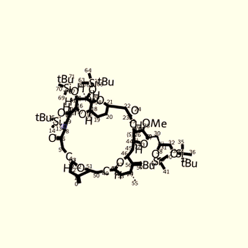 C=C1C[C@@H]2CCC(=O)/C=C/[C@H](O[Si](C)(C)C(C)(C)C)[C@@H]3O[C@H]4CCC(CC(=O)C[C@@H]5[C@@H](OC)[C@@H](C[C@@H](CO[Si](C)(C)C(C)(C)C)O[Si](C)(C)C(C)(C)C)O[C@H]5CC5O[C@@H](CCC1O2)C[C@@H](C)C5=C)O[C@@H]4[C@H](O[Si](C)(C)C(C)(C)C)[C@@H]3O[Si](C)(C)C(C)(C)C